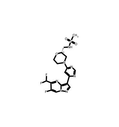 CS(=O)(=O)NC[C@@H]1CN(c2cc(-c3cnn4cc(F)c(C(F)F)nc34)ncn2)CCO1